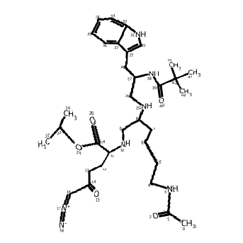 CC(=O)NCCCCC(CNC(CCC(=O)C=[N+]=[N-])C(=O)OC(C)C)NCC(Cc1c[nH]c2ccccc12)NC(=O)C(C)(C)C